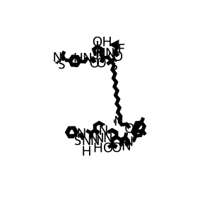 Cc1ncsc1-c1ccc(CNC(=O)[C@@H]2C[C@@H](O)CN2C(=O)[C@@H](NC(=O)C2(F)CC2)C(C)(C)SCCCCCCCCCCCCN(C)CCOC23CC4(C)CC(C)(CC(Cn5ncc(-c6ccc(N7CCCc8c7nnc(Nc7nc9ccccc9s7)c8C)nc6C(=O)O)c5C)(C4)C2)C3)cc1